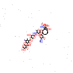 CCN[C@H]1CO[C@@H](O[C@H]2[C@H](O[C@H]3C#CC=CC#C[C@]4(O)C[C@H](O)C(NC(=O)OC)=C3/C4=C\CS)O[C@H](C)[C@@H](NO[C@H]3C[C@H](O)[C@H](SC(=O)c4c(C)c(I)c(O[C@@H]5O[C@@H](C)[C@H](O)[C@@H](OC)[C@H]5O)c(OC)c4OC)[C@@H](C)O3)[C@@H]2O)C[C@@H]1OC